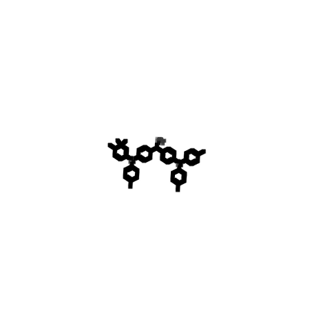 CC1=CCC(N(c2ccc(C)cc2)c2ccc(C(C(C)C)C3C=CC(N(C4=CC(C)(C)C(C)C=C4)C4=CC=C(C)CC4)=CC3)cc2)C=C1